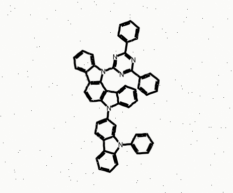 c1ccc(-c2nc(-c3ccccc3)nc(-n3c4ccccc4c4ccc5c(c6ccccc6n5-c5ccc6c7ccccc7n(-c7ccccc7)c6c5)c43)n2)cc1